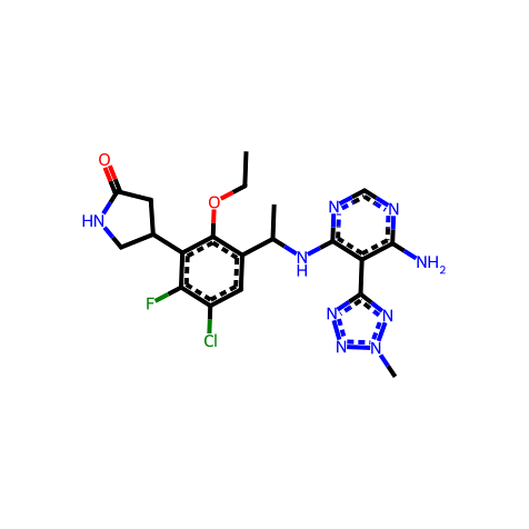 CCOc1c(C(C)Nc2ncnc(N)c2-c2nnn(C)n2)cc(Cl)c(F)c1C1CNC(=O)C1